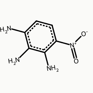 Nc1ccc([N+](=O)[O-])c(N)c1N